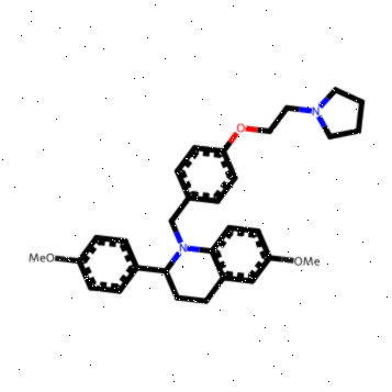 COc1ccc(C2CCc3cc(OC)ccc3N2Cc2ccc(OCCN3CCCC3)cc2)cc1